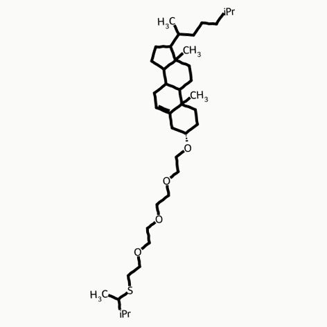 CC(C)CCCC(C)C1CCC2C3CC=C4C[C@@H](OCCOCCOCCOCCSC(C)C(C)C)CCC4(C)C3CCC12C